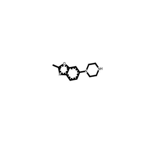 Cc1nc2ccc(N3CCNCC3)cc2o1